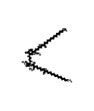 CCCCCCCCCCCCCC(=O)NCCCC[C@H](N)C(=O)N[C@@H](CSSC[C@H](NC(=O)[C@@H](N)CCCCNC(=O)CCCCCCCCCCCCC)C(N)=O)C(N)=O